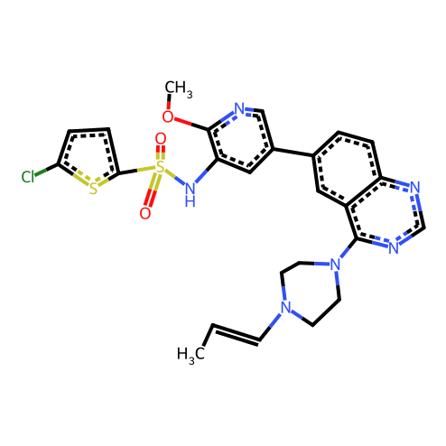 CC=CN1CCN(c2ncnc3ccc(-c4cnc(OC)c(NS(=O)(=O)c5ccc(Cl)s5)c4)cc23)CC1